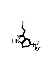 O=[N+]([O-])c1ccc2[nH]nc(CCF)c2c1